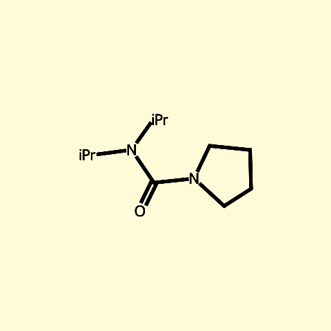 CC(C)N(C(=O)N1CCCC1)C(C)C